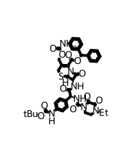 CCN1CCN(C(=O)N[C@H](C(=O)N[C@@H]2C(=O)N3C(C(=O)OC(c4ccccc4)c4ccccc4)=C(COC(N)=O)CS[C@@H]23)c2ccc(NC(=O)OC(C)(C)C)cc2)C(=O)C1=O